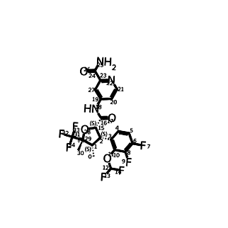 C[C@H]1[C@@H](c2ccc(F)c(F)c2OC(F)F)[C@@H](C(=O)Nc2ccnc(C(N)=O)c2)O[C@@]1(C)C(F)(F)F